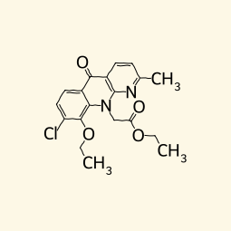 CCOC(=O)Cn1c2nc(C)ccc2c(=O)c2ccc(Cl)c(OCC)c21